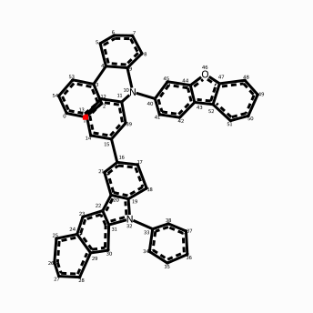 c1ccc(-c2ccccc2N(c2cccc(-c3ccc4c(c3)c3cc5ccccc5cc3n4-c3ccccc3)c2)c2ccc3c(c2)oc2ccccc23)cc1